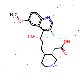 COc1ccc2ncc(F)c([C@@H](O)CC[C@@H]3CCNC[C@H]3CC(=O)O)c2c1